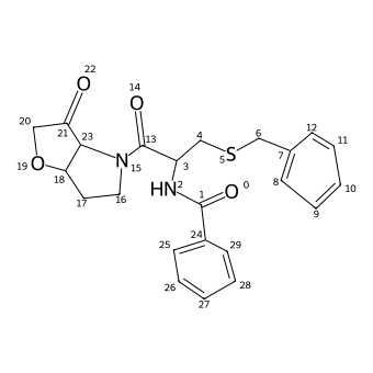 O=C(NC(CSCc1ccccc1)C(=O)N1CCC2OCC(=O)C21)c1ccccc1